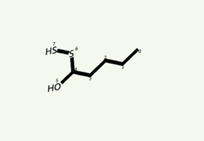 CCCCC(O)SS